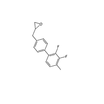 Cc1ccc(-c2ccc(CC3CO3)cc2)c(F)c1F